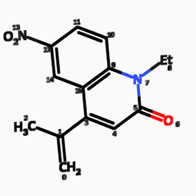 C=C(C)c1cc(=O)n(CC)c2ccc([N+](=O)[O-])cc12